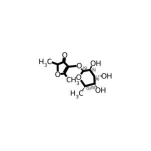 CC1=C(O[C@@H]2O[C@@H](C)[C@@H](O)[C@@H](O)[C@@H]2O)C(=O)C(C)O1